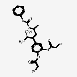 CC(C)CC(=O)Oc1ccc(C(CC(C)OC(=O)Oc2ccccc2)[C@H](N)C(=O)O)cc1OC(=O)CC(C)C